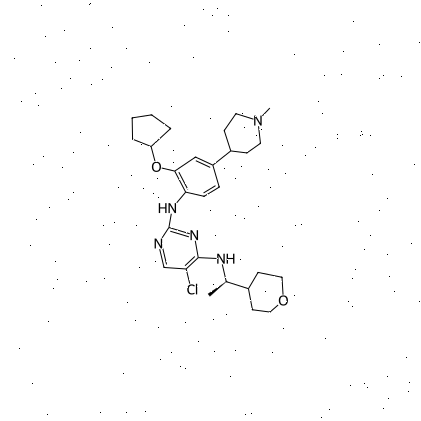 C[C@@H](Nc1nc(Nc2ccc(C3CCN(C)CC3)cc2OC2CCCC2)ncc1Cl)C1CCOCC1